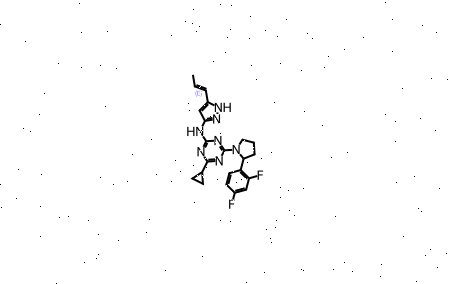 C/C=C/c1cc(Nc2nc(C3CC3)nc(N3CCCC3c3ccc(F)cc3F)n2)n[nH]1